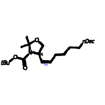 CCCCCCCCCCCCCC/C=C\[C@@H]1COC(C)(C)N1C(=O)OC(C)(C)C